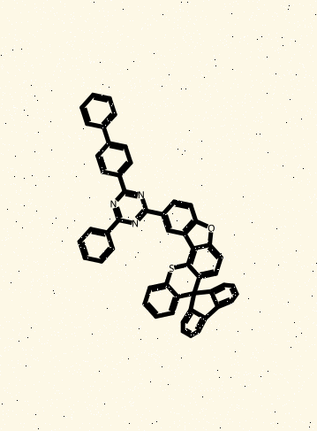 c1ccc(-c2ccc(-c3nc(-c4ccccc4)nc(-c4ccc5oc6ccc7c(c6c5c4)Sc4ccccc4C74c5ccccc5-c5ccccc54)n3)cc2)cc1